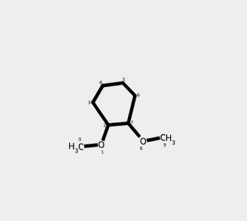 CO[C]1CCCC[C]1OC